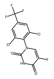 O=c1[nH]c(=O)n(-c2c(Cl)cc(C(F)(F)F)cc2Cl)cc1F